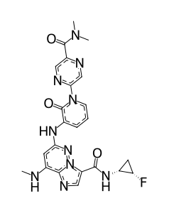 CNc1cc(Nc2cccn(-c3cnc(C(=O)N(C)C)cn3)c2=O)nn2c(C(=O)N[C@@H]3C[C@@H]3F)cnc12